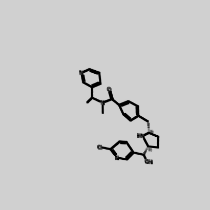 CC(c1cccnc1)N(C)C(=O)c1ccc(C[C@@H]2CC[C@H](C(O)c3ccc(Cl)nc3)N2)cc1